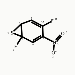 O=[N+]([O-])C1=CC2(F)SC2C=C1F